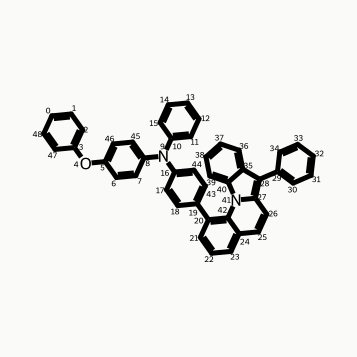 c1ccc(Oc2ccc(N(c3ccccc3)c3ccc(-c4cccc5ccc6c(-c7ccccc7)c7ccccc7n6c45)cc3)cc2)cc1